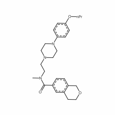 CCCOc1ccc(N2CCN(CCN(C)C(=O)c3ccc4c(c3)CCOC4)CC2)cc1